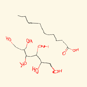 CCCCCCCCC(=O)O.OCC(O)C(O)C(O)C(O)CO